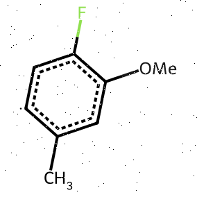 COc1cc(C)[c]cc1F